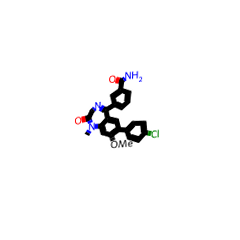 COc1cc2c(cc1-c1ccc(Cl)cc1)C(c1cccc(C(N)=O)c1)=NCC(=O)N2C